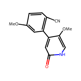 COc1ccc(C#N)c(-c2cc(=O)[nH]cc2OC)c1